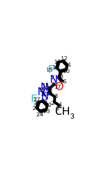 CCCCc1c(-c2nc(-c3ccccc3F)co2)nnn1-c1ccccc1F